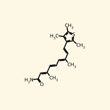 CC(C=Cc1c(C)sc(C)c1C)=CC=C/C(C)=C/C(N)=O